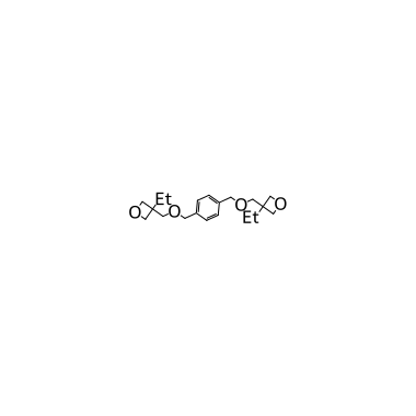 CCC1(COCc2ccc(COCC3(CC)COC3)cc2)COC1